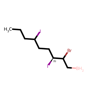 BCC(Br)[C@@H](I)CCC(I)CCC